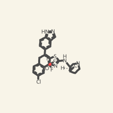 O=C1N=C(N[C@H]2CN3CCC2CC3)SC1=C(Cc1ccc(Cl)cc1C(F)(F)F)c1ccc2[nH]ncc2c1